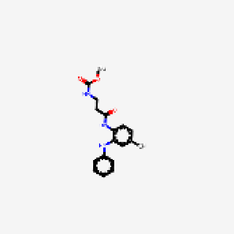 CC(C)(C)OC(=O)NCCC(=O)Nc1ccc(C#N)cc1Nc1ccccc1